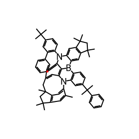 Cc1cc2c3cc1N1c4cc(C(C)(C)c5ccccc5)ccc4B4c5cc6c(cc5N(c5ccc(C(C)(C)C)cc5-c5ccccc5)c5cc(cc1c54)CC3(C)CC2(C)C)C(C)(C)CC6(C)C